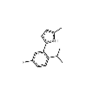 Cc1ccc(-c2cc(F)ccc2C(C)C)[nH]1